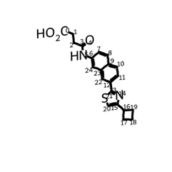 O=C(O)CCC(=O)Nc1ccc2ccc(-c3nc(C4CCC4)cs3)cc2c1